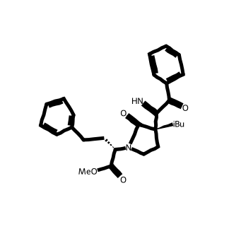 CCC(C)[C@@]1(C(=N)C(=O)c2ccccc2)CCN([C@@H](CCc2ccccc2)C(=O)OC)C1=O